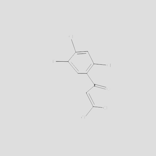 O=C(C=C(Cl)Cl)c1cc(F)c(Cl)cc1Cl